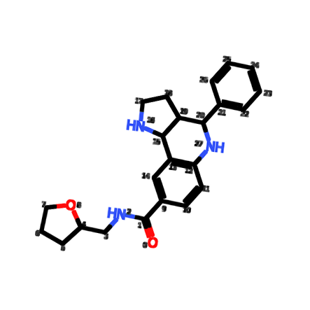 O=C(NCC1CCCO1)c1ccc2c(c1)C1NCCC1C(c1ccccc1)N2